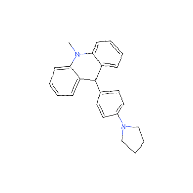 CN1c2ccccc2C(c2ccc(N3CCCC3)cc2)c2ccccc21